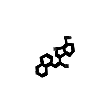 COc1cccc2c(C(C#N)=Cc3cccc4cnccc34)c[nH]c12